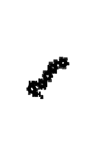 Nc1cccc(Nc2ncnc(N3CCN(c4ncc(Cc5ccccc5)cn4)CC3)n2)c1